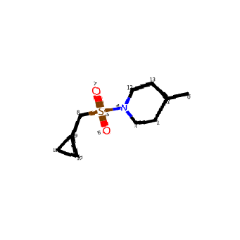 CC1CCN(S(=O)(=O)CC2CC2)CC1